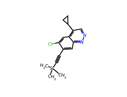 C[Si](C)(C)C#Cc1cc2nncc(C3CC3)c2cc1Cl